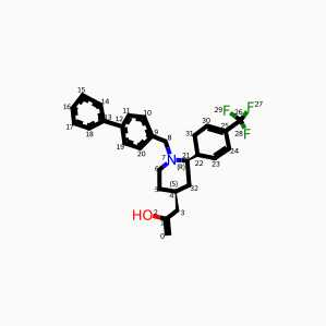 C=C(O)C[C@H]1CCN(Cc2ccc(-c3ccccc3)cc2)[C@@H](C2C=CC(C(F)(F)F)=CC2)C1